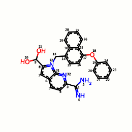 N=C(N)c1ccc2cc(C(O)O)n(Cc3ccc(Oc4ccccc4)c4ccccc34)c2n1